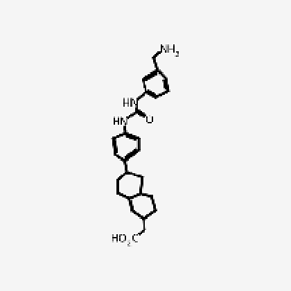 NCc1cccc(NC(=O)Nc2ccc(C3CCC4CC(CC(=O)O)CCC4C3)cc2)c1